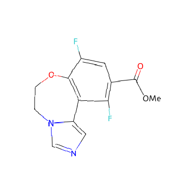 COC(=O)c1cc(F)c2c(c1F)-c1cncn1CCO2